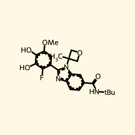 COc1cc(-c2nc3ccc(C(=O)NC(C)(C)C)cc3n2C2(C)COC2)c(F)c(O)c1O